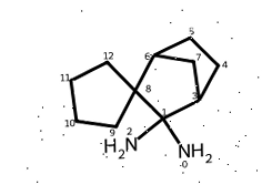 NC1(N)C2CCC(C2)C12CCCC2